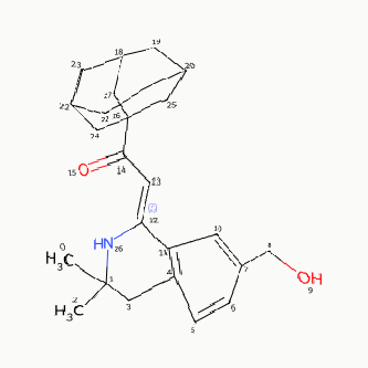 CC1(C)Cc2ccc(CO)cc2/C(=C/C(=O)C23CC4CC(CC(C4)C2)C3)N1